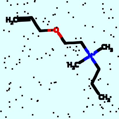 [CH2]CC[N+](C)(C)CCOCC=C